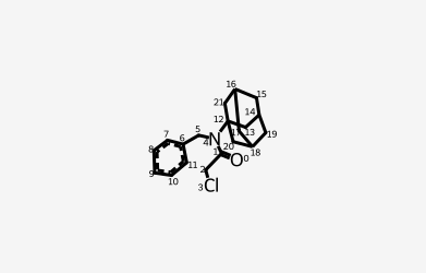 O=C(CCl)N(Cc1ccccc1)C12CC3CC(CC(C3)C1)C2